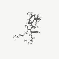 CCCOC(=O)C(C(=O)OCC)C(=O)c1ccc(Cl)cc1C(F)(F)F